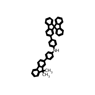 CC1(C)c2ccccc2-c2ccc(-c3ccc(Nc4ccc(-c5ccc6c(c5)C5(c7ccccc7-c7ccccc75)c5ccccc5-6)cc4)cc3)cc21